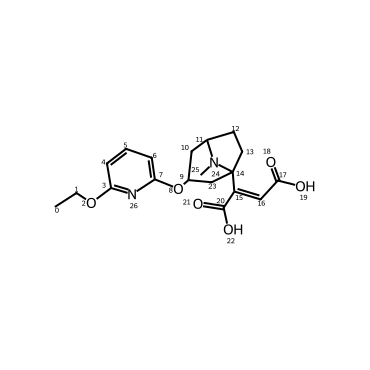 CCOc1cccc(OC2CC3CCC(/C(=C\C(=O)O)C(=O)O)(C2)N3C)n1